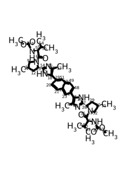 COC(=O)N[C@H](C(=O)N1C[C@@H](C)C[C@H]1c1nc(C)c(-c2ccc3cc(-c4[nH]c([C@@H]5C[C@H](C)CN5C(=O)[C@@H](NC(=O)OC)C(C)C)nc4C)ccc3c2)[nH]1)C(C)C